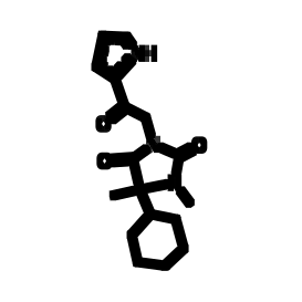 CN1C(=O)N(CC(=O)c2ccc[nH]2)C(=O)C1(C)C1CCCCC1